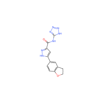 O=C(Nc1nnn[nH]1)c1cc(-c2ccc3c(c2)CCO3)[nH]n1